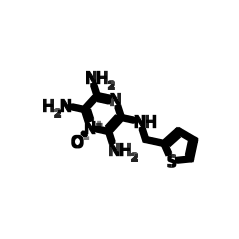 Nc1nc(NCc2cccs2)c(N)[n+]([O-])c1N